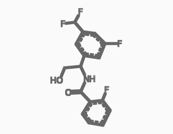 O=C(NC(CO)c1cc(F)cc(C(F)F)c1)c1ccccc1F